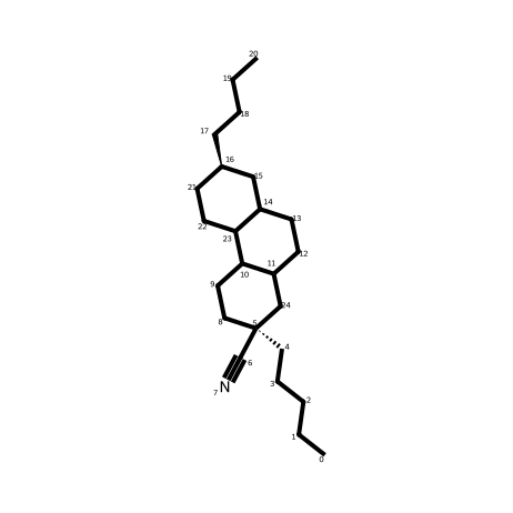 CCCCC[C@]1(C#N)CCC2C(CCC3C[C@H](CCCC)CCC32)C1